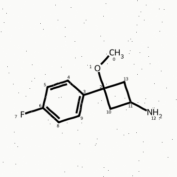 COC1(c2ccc(F)cc2)CC(N)C1